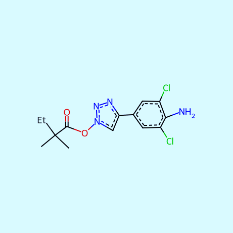 CCC(C)(C)C(=O)On1cc(-c2cc(Cl)c(N)c(Cl)c2)nn1